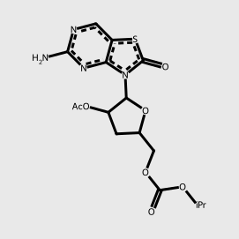 CC(=O)OC1CC(COC(=O)OC(C)C)OC1n1c(=O)sc2cnc(N)nc21